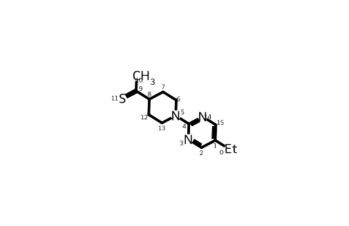 CCc1cnc(N2CCC(C(C)=S)CC2)nc1